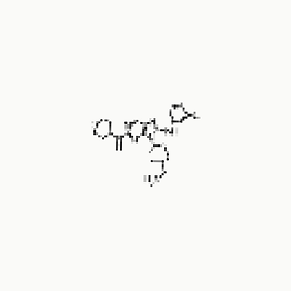 NC[C@H]1CC[C@@H](n2c(Nc3cccc(Cl)c3)nc3cnc(NC4CCOCC4)nc32)CC1